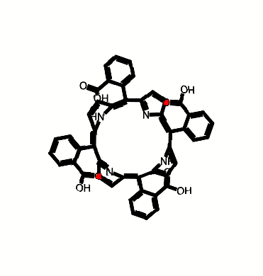 O=C(O)c1ccccc1-c1c2nc(c(-c3ccccc3C(=O)O)c3ccc([nH]3)c(-c3ccccc3C(=O)O)c3nc(c(-c4ccccc4C(=O)O)c4ccc1[nH]4)C=C3)C=C2